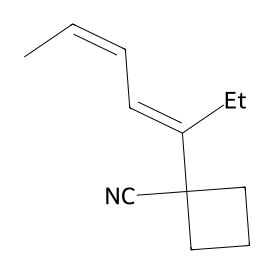 C/C=C\C=C(/CC)C1(C#N)CCC1